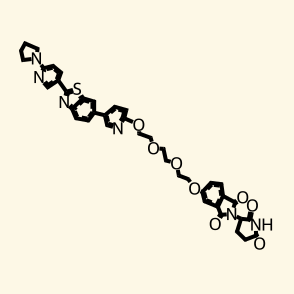 O=C1CCC(N2C(=O)c3ccc(OCCOCCOCCOc4ccc(-c5ccc6nc(-c7ccc(N8CCCC8)nc7)sc6c5)cn4)cc3C2=O)C(=O)N1